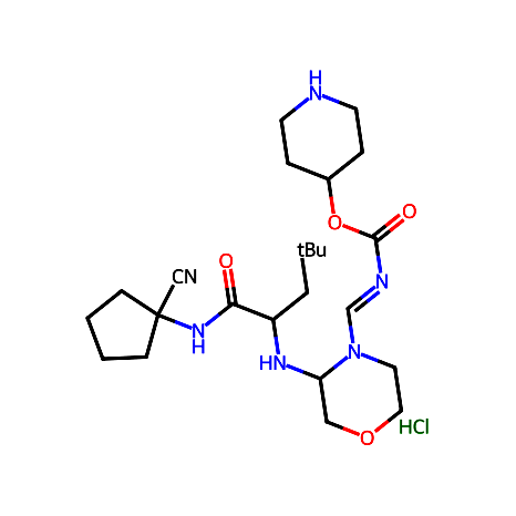 CC(C)(C)CC(NC1COCCN1C=NC(=O)OC1CCNCC1)C(=O)NC1(C#N)CCCC1.Cl